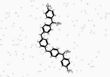 CCCCC(c1ccc(N)cc1)c1ccc(Cc2ccc(Cc3ccc(C(CCCC)c4ccc(N)cc4)cc3)cc2)cc1